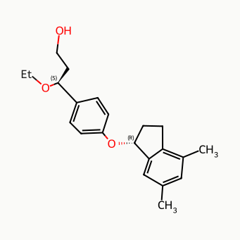 CCO[C@@H](CCO)c1ccc(O[C@@H]2CCc3c(C)cc(C)cc32)cc1